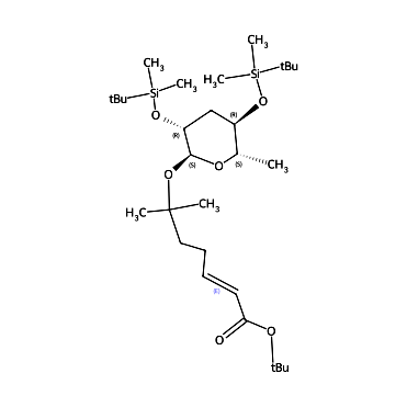 C[C@@H]1O[C@@H](OC(C)(C)CC/C=C/C(=O)OC(C)(C)C)[C@H](O[Si](C)(C)C(C)(C)C)C[C@H]1O[Si](C)(C)C(C)(C)C